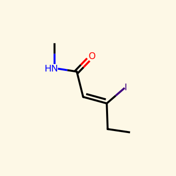 CCC(I)=CC(=O)NC